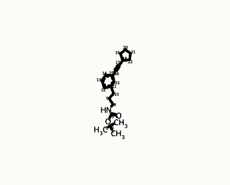 CC(C)(C)OC(=O)NCCCc1cccc(C#CC2CCCC2)c1